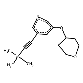 C[Si](C)(C)C#Cc1cncc(OC2CCOCC2)c1